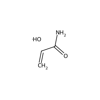 C=CC(N)=O.[OH]